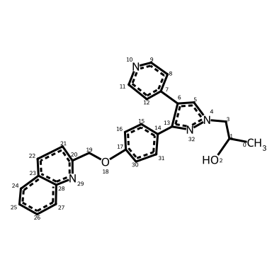 CC(O)Cn1cc(-c2ccncc2)c(-c2ccc(OCc3ccc4ccccc4n3)cc2)n1